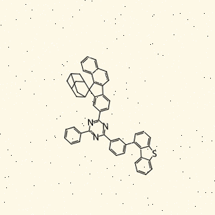 c1ccc(-c2nc(-c3cccc(-c4cccc5sc6ccccc6c45)c3)nc(-c3ccc4c(c3)C3(c5c-4ccc4ccccc54)C4CC5CC(C4)CC3C5)n2)cc1